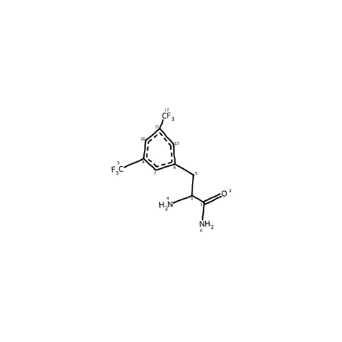 NC(=O)C(N)Cc1cc(C(F)(F)F)cc(C(F)(F)F)c1